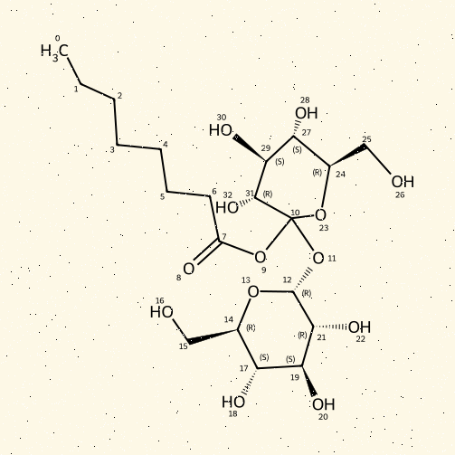 CCCCCCCC(=O)OC1(O[C@H]2O[C@H](CO)[C@@H](O)[C@H](O)[C@H]2O)O[C@H](CO)[C@@H](O)[C@H](O)[C@H]1O